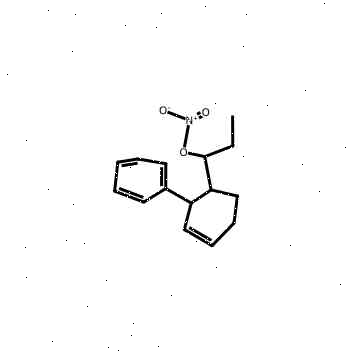 CCC(O[N+](=O)[O-])C1CCC=CC1c1ccccc1